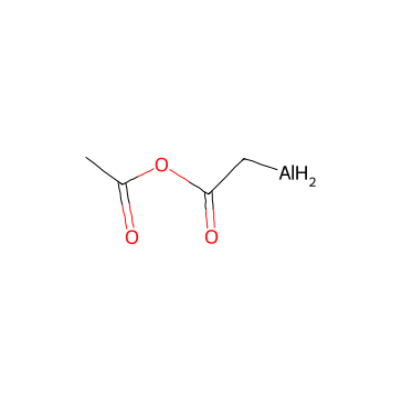 CC(=O)OC(=O)[CH2][AlH2]